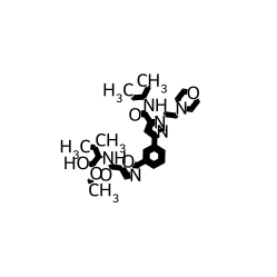 CCOC(O)[C@@H](NC(=O)c1cnc(-c2cccc(-c3cc(C(=O)NC(CC)CC)n(CCN4CCOCC4)n3)c2)o1)C(C)C